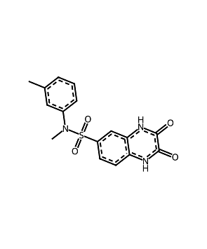 Cc1cccc(N(C)S(=O)(=O)c2ccc3[nH]c(=O)c(=O)[nH]c3c2)c1